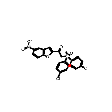 CS(=O)(CC(=O)c1cc2cc([N+](=O)[O-])ccc2o1)(c1ccc(Cl)cc1)c1ccc(Cl)cc1